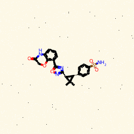 CC1(C)[C@@H](c2ccc(S(N)(=O)=O)cc2)[C@@H]1c1noc(-c2cccc3c2OCC(=O)N3)n1